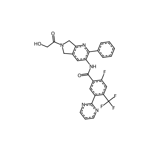 O=C(Nc1cc2c(nc1-c1ccccc1)CN(C(=O)CO)C2)c1cc(-c2ncccn2)c(C(F)(F)F)cc1F